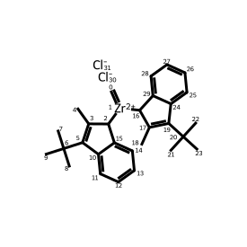 [CH2]=[Zr+2]([CH]1C(C)=C(C(C)(C)C)c2ccccc21)[CH]1C(C)=C(C(C)(C)C)c2ccccc21.[Cl-].[Cl-]